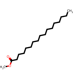 CCCCCCCCCCCCCCCCC(=O)OC